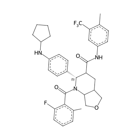 Cc1ccc(NC(=O)C2CC3COCC3N(C(=O)c3c(C)cccc3F)[C@@H]2c2ccc(NC3CCCC3)cc2)cc1C(F)(F)F